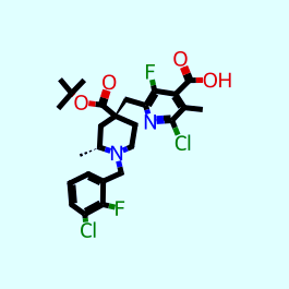 Cc1c(Cl)nc(C[C@@]2(C(=O)OC(C)(C)C)CCN(Cc3cccc(Cl)c3F)[C@H](C)C2)c(F)c1C(=O)O